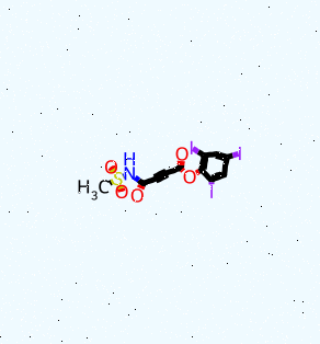 CS(=O)(=O)NC(=O)C#CC(=O)Oc1c(I)cc(I)cc1I